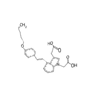 C=CCCCOc1ccc(C=Cc2cccc3c2c(CC(=O)O)cn3CC(=O)O)cc1